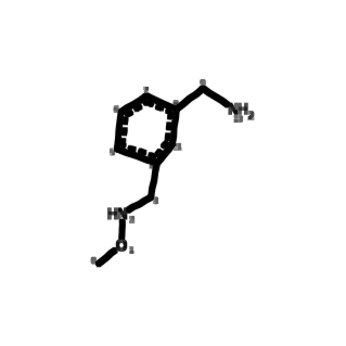 CONCc1cccc(CN)c1